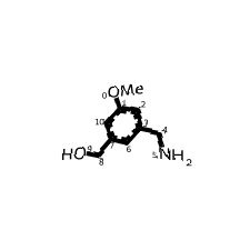 COc1cc(CN)cc(CO)c1